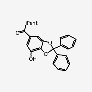 CCCC(C)C(=O)c1cc(O)c2c(c1)OC(c1ccccc1)(c1ccccc1)O2